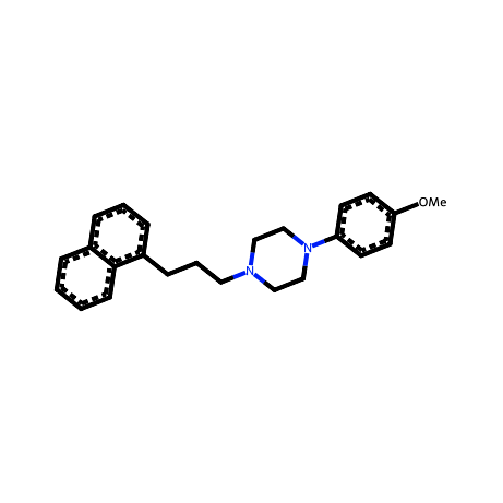 COc1ccc(N2CCN(CCCc3cccc4ccccc34)CC2)cc1